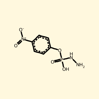 NNP(=O)(O)Oc1ccc([N+](=O)[O-])cc1